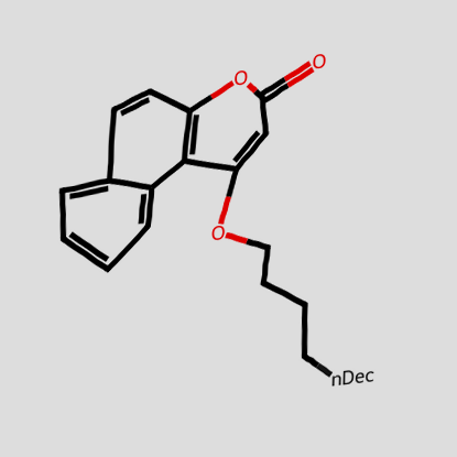 CCCCCCCCCCCCCCOc1cc(=O)oc2ccc3ccccc3c12